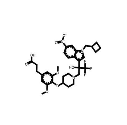 COc1cc(CCC(=O)O)cc(OC)c1OC1CCN(CC(O)(c2cn(CC3CCC3)c3cc([N+](=O)[O-])ccc23)C(F)(F)F)CC1